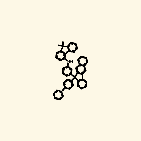 CC1(C)c2ccccc2-c2c(Nc3cccc(C4(c5ccc(-c6ccccc6)cc5)c5ccccc5-c5cc6ccccc6cc54)c3)cccc21